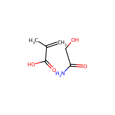 C=C(C)C(=O)O.NC(=O)CO